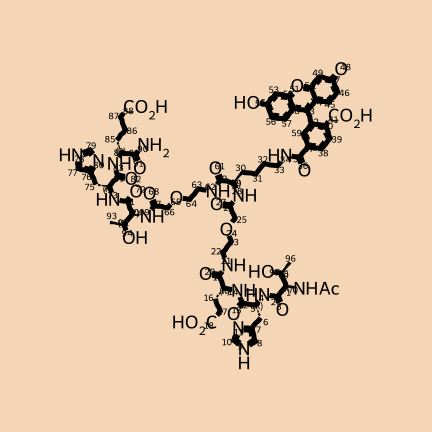 CC(=O)N[C@@H](C(=O)N[C@H](Cc1c[nH]cn1)C(=O)N[C@H](CCC(=O)O)C(=O)NCCOCC(=O)N[C@H](CCCCNC(=O)c1ccc(C(=O)O)c(-c2c3ccc(=O)cc-3oc3cc(O)ccc23)c1)C(=O)NCCOCC(=O)N[C@@H](C(=O)N[C@H](Cc1c[nH]cn1)C(=O)N[C@H](CCCC(=O)O)C(N)=O)[C@H](C)O)[C@H](C)O